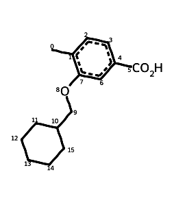 Cc1ccc(C(=O)O)cc1OCC1CCCCC1